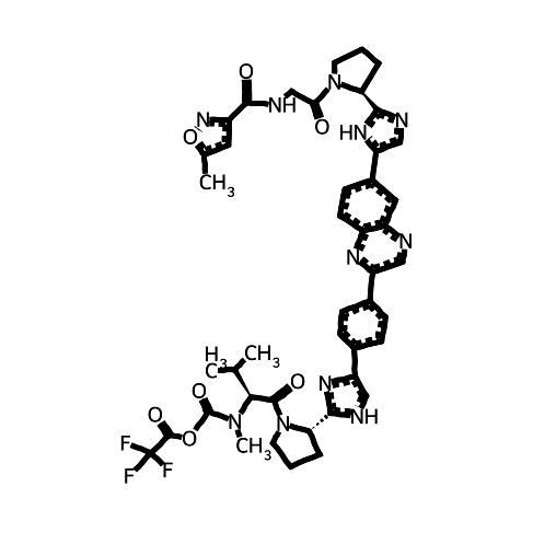 Cc1cc(C(=O)NCC(=O)N2CCC[C@H]2c2ncc(-c3ccc4nc(-c5ccc(-c6c[nH]c([C@@H]7CCCN7C(=O)[C@H](C(C)C)N(C)C(=O)OC(=O)C(F)(F)F)n6)cc5)cnc4c3)[nH]2)no1